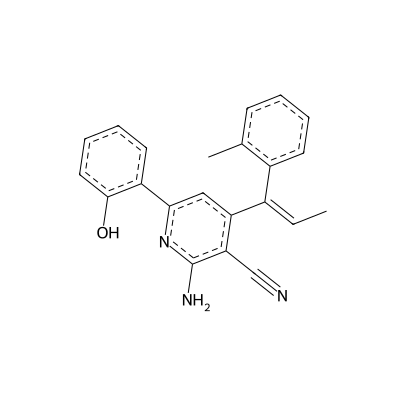 C/C=C(\c1ccccc1C)c1cc(-c2ccccc2O)nc(N)c1C#N